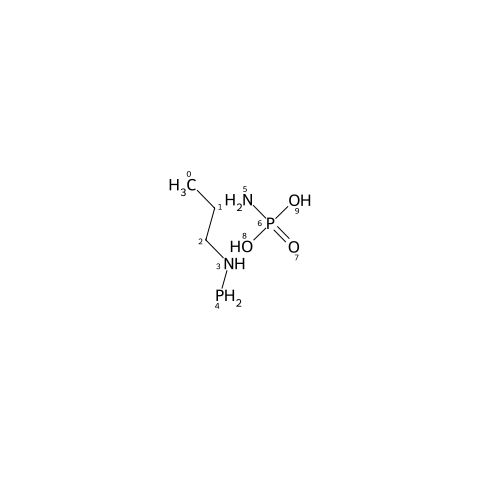 CCCNP.NP(=O)(O)O